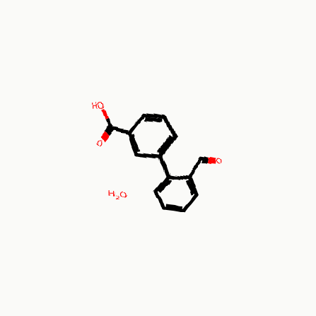 O.O=Cc1ccccc1-c1cccc(C(=O)O)c1